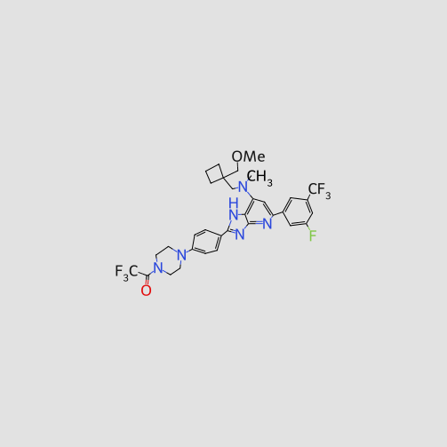 COCC1(CN(C)c2cc(-c3cc(F)cc(C(F)(F)F)c3)nc3nc(-c4ccc(N5CCN(C(=O)C(F)(F)F)CC5)cc4)[nH]c23)CCC1